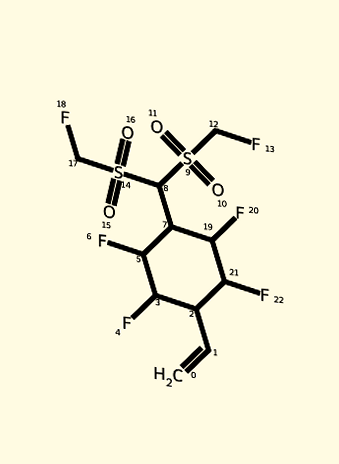 C=CC1C(F)C(F)C(C(S(=O)(=O)CF)S(=O)(=O)CF)C(F)C1F